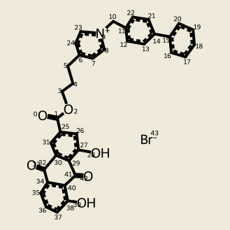 O=C(OCCCc1cc[n+](Cc2ccc(-c3ccccc3)cc2)cc1)c1cc(O)c2c(c1)C(=O)c1cccc(O)c1C2=O.[Br-]